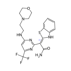 NC(=O)/C(=C1\Nc2ccccc2S1)c1nc(NCCN2CCOCC2)cc(C(F)(F)F)n1